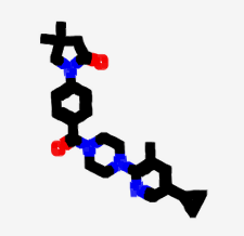 Cc1cc(C2CC2)cnc1N1CCN(C(=O)c2ccc(N3CC(C)(C)CC3=O)cc2)CC1